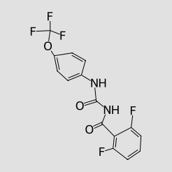 O=C(NC(=O)c1c(F)cccc1F)Nc1ccc(OC(F)(F)F)cc1